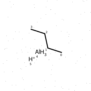 CCCC.[AlH3].[H+]